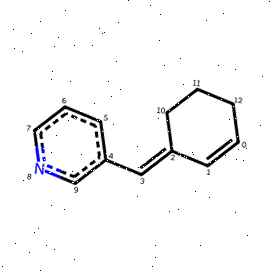 C1=C/C(=C/c2cccnc2)CCC1